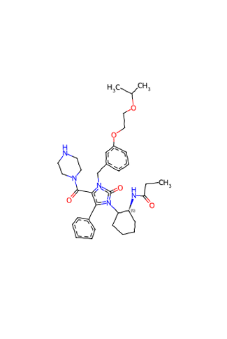 CCC(=O)N[C@H]1CCCCC1n1c(-c2ccccc2)c(C(=O)N2CCNCC2)n(Cc2cccc(OCCOC(C)C)c2)c1=O